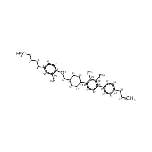 CCCCCc1ccc(OCC2CCC(c3ccc(-c4ccc(CCC)cc4)c(F)c3F)CC2)c(F)c1